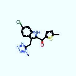 Cc1ccc(C(=O)c2[nH]c3cc(Cl)ccc3c2Cc2nnnn2C)s1